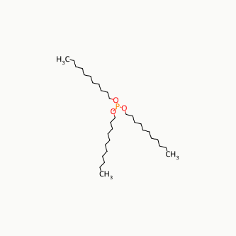 CCCCCCCCCCCOP(OCCCCCCCCCCC)OCCCCCCCCCCC